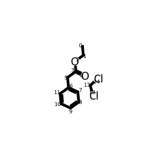 CCOC(=O)Cc1ccccc1.ClCCl